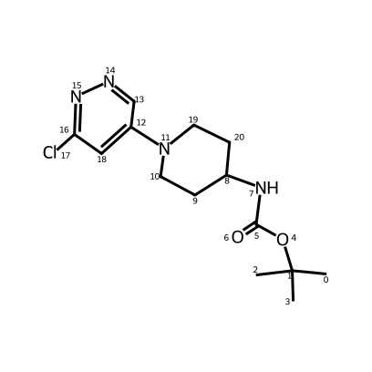 CC(C)(C)OC(=O)NC1CCN(c2cnnc(Cl)c2)CC1